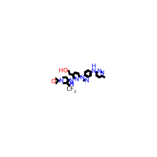 Cc1ccc(Nc2ccc3c(c2)ncn3-c2ccc(CCO)c(-n3nc(C(F)(F)F)c4c3CCN(C3COC3)C4)n2)nn1